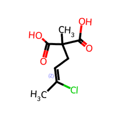 C/C(Cl)=C/CC(C)(C(=O)O)C(=O)O